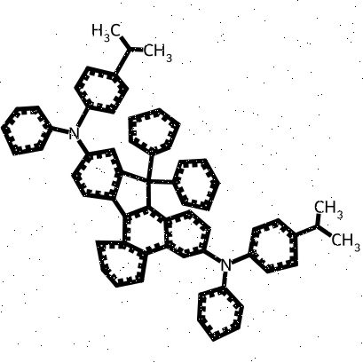 CC(C)c1ccc(N(c2ccccc2)c2ccc3c(c2)C(c2ccccc2)(c2ccccc2)c2c-3c3ccccc3c3cc(N(c4ccccc4)c4ccc(C(C)C)cc4)ccc23)cc1